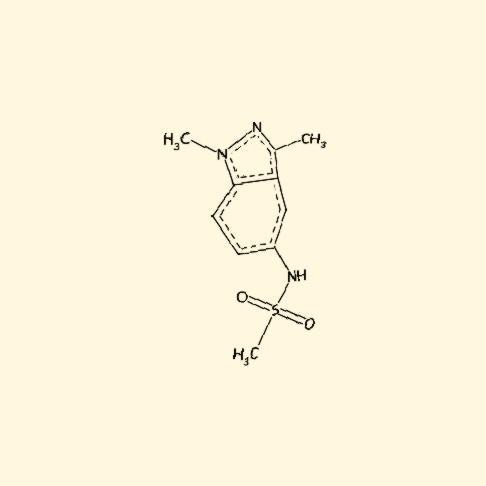 Cc1nn(C)c2ccc(NS(C)(=O)=O)cc12